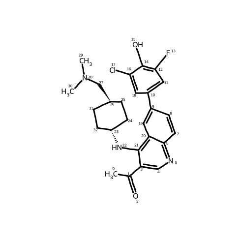 CC(=O)c1cnc2ccc(-c3cc(F)c(O)c(Cl)c3)cc2c1N[C@H]1CC[C@H](CN(C)C)CC1